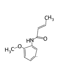 CC=CC(=O)Nc1c[c]ccc1OC